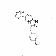 Oc1ccc(Cc2nnc3ccc(-c4ccc[nH]4)cn23)cc1